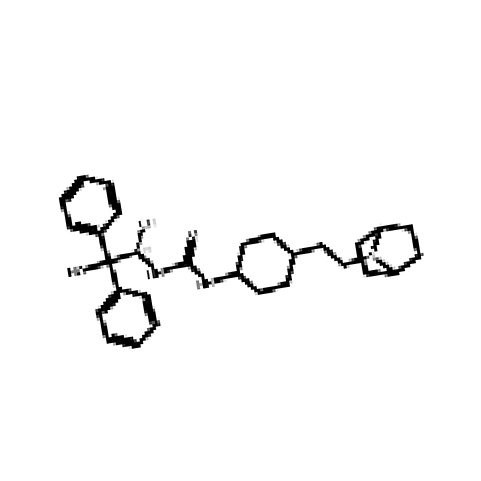 C[C@@H](NC(=O)NC1CCC(CCN2C3CCC2CC3)CC1)C(O)(c1ccccc1)c1ccccc1